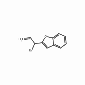 C=CC(Br)c1cc2ccccc2o1